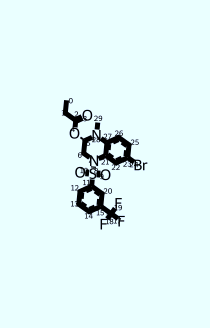 CCC(=O)O[C@H]1CN(S(=O)(=O)c2cccc(C(F)(F)F)c2)c2cc(Br)ccc2N1C